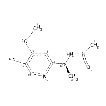 COc1cc([C@H](C)NC(C)=O)ncc1F